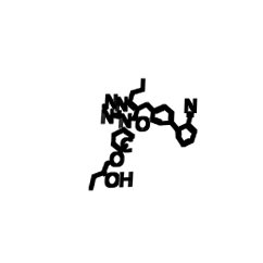 CCCc1c(Cc2ccc(-c3ccccc3C#N)cc2)c(=O)n([C@H]2CC[C@H](OCC(O)CC)CC2)c2ncnn12